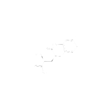 CN[C@@H](C[C@@H]1Oc2ccc(F)cc2NC1=O)C(N)=O